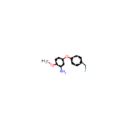 COc1ccc(Oc2ccc(CF)cc2)cc1N